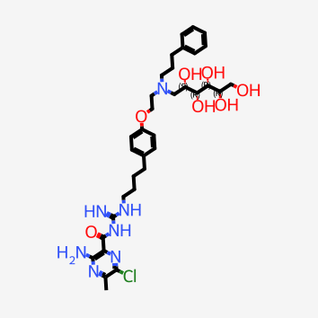 Cc1nc(N)c(C(=O)NC(=N)NCCCCc2ccc(OCCN(CCCc3ccccc3)C[C@H](O)[C@@H](O)[C@H](O)[C@H](O)CO)cc2)nc1Cl